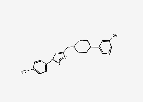 Oc1ccc(-n2cc(CN3CCC(c4cccc(O)c4)CC3)nn2)cc1